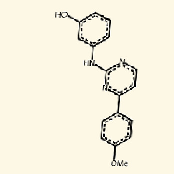 COc1ccc(-c2ccnc(Nc3cccc(O)c3)n2)cc1